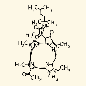 CC[C@@H]1c2cc3[nH]c4c(c3C)C(=O)C(C(=O)OC)c4c3nc(cc4[nH]c(cc(n2)[C@H]1C)c(C(C)=O)c4C)[C@H](C)[C@H]3CCC(=O)NC(C)(C)CCC(C)C